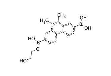 Cc1c(C)c2cc(B(O)OCCO)ccc2c2ccc(B(O)O)cc12